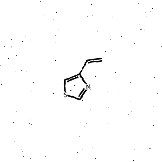 C=Cc1cscn1